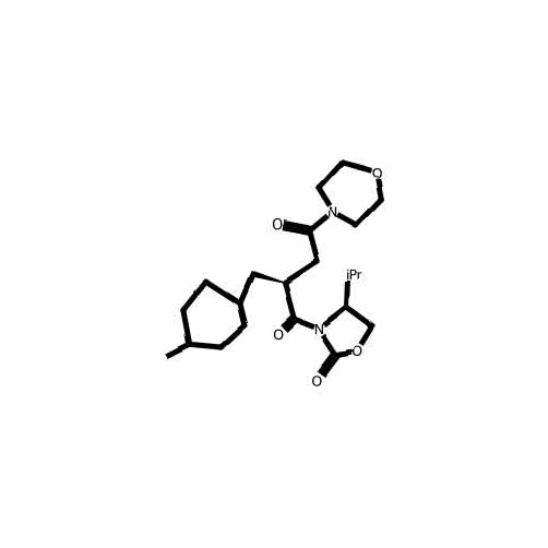 CC1CCC(C[C@@H](CC(=O)N2CCOCC2)C(=O)N2C(=O)OCC2C(C)C)CC1